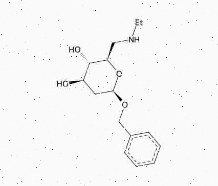 CCNC[C@H]1O[C@@H](OCc2ccccc2)C[C@@H](O)[C@@H]1O